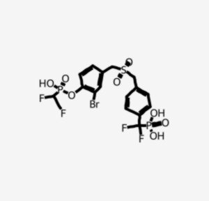 O=P(O)(Oc1ccc(CS(=O)(=O)Cc2ccc(C(F)(F)P(=O)(O)O)cc2)cc1Br)C(F)F